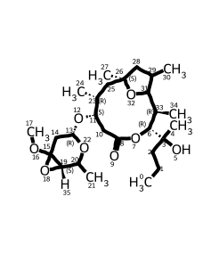 CCCC(C)(O)[C@@H]1OC(=O)C[C@H](O[C@H]2CC3(OC)O[C@H]3C(C)O2)[C@H](C)C[C@@]2(C)CC(C)C(O2)[C@H]1C